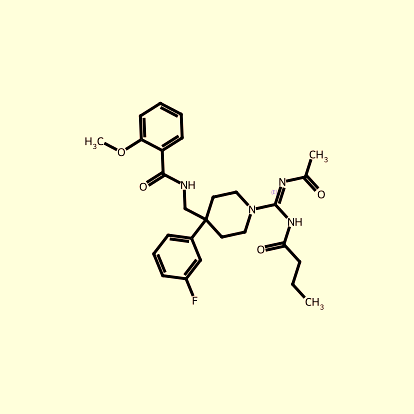 CCCC(=O)N/C(=N\C(C)=O)N1CCC(CNC(=O)c2ccccc2OC)(c2cccc(F)c2)CC1